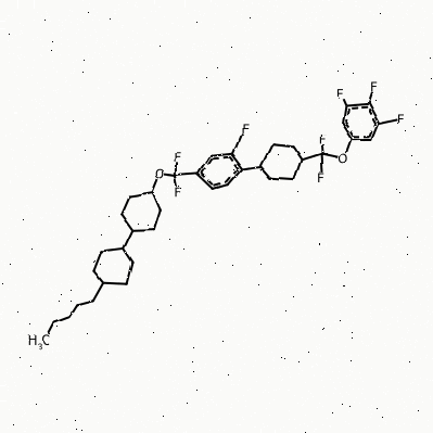 CCCCCC1CCC(C2CCC(OC(F)(F)c3ccc(C4CCC(C(F)(F)Oc5cc(F)c(F)c(F)c5)CC4)c(F)c3)CC2)CC1